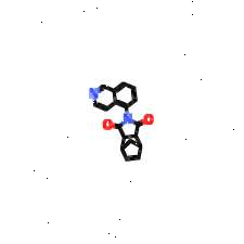 O=C1C2C3C=CC(C3)C2C(=O)N1c1cccc2cnccc12